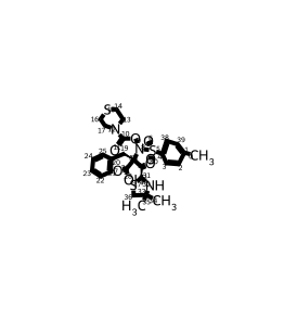 Cc1ccc(S(=O)(=O)N(OC(=O)N2CCSCC2)[C@@](Cc2ccccc2)(C(=O)O)C(=O)[C@H]2NC(C)(C)CS2)cc1